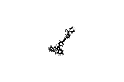 O=C(c1ccc(C#Cc2ccc(C(F)(F)C(O)(Cn3cnnn3)c3ccc(F)cc3F)nc2)s1)N1CCOCC1